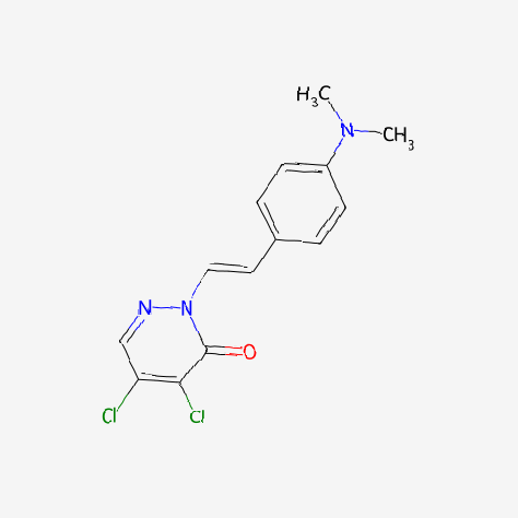 CN(C)c1ccc(/C=C/n2ncc(Cl)c(Cl)c2=O)cc1